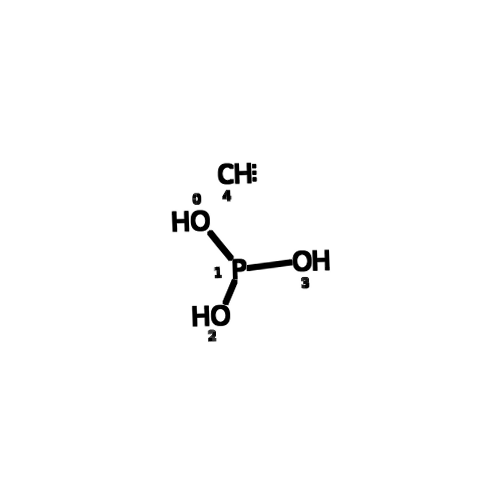 OP(O)O.[CH]